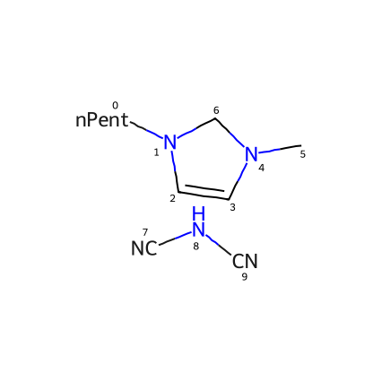 CCCCCN1C=CN(C)C1.N#CNC#N